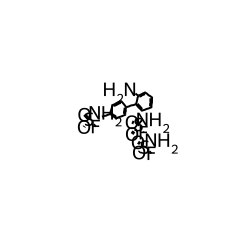 Cc1ccc(-c2ccccc2N)cc1.NS(=O)(=O)F.NS(=O)(=O)F.NS(=O)(=O)F